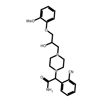 COc1ccccc1OCC(O)CN1CCN(C(C(N)=O)c2ccccc2C#N)CC1